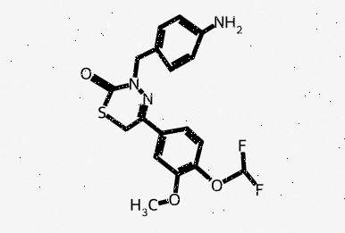 COc1cc(C2=NN(Cc3ccc(N)cc3)C(=O)SC2)ccc1OC(F)F